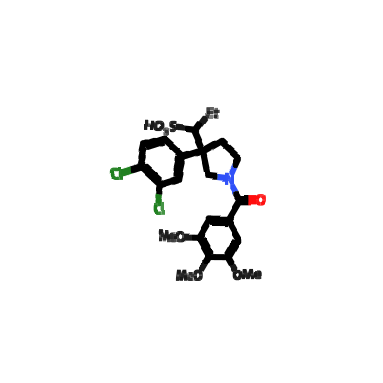 CCC(C1(c2ccc(Cl)c(Cl)c2)CCN(C(=O)c2cc(OC)c(OC)c(OC)c2)C1)S(=O)(=O)O